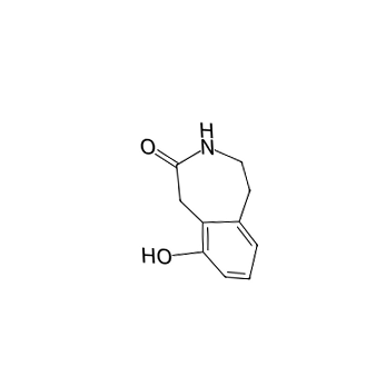 O=C1Cc2c(O)cccc2CCN1